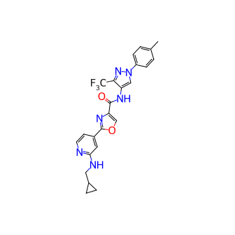 Cc1ccc(-n2cc(NC(=O)c3coc(-c4ccnc(NCC5CC5)c4)n3)c(C(F)(F)F)n2)cc1